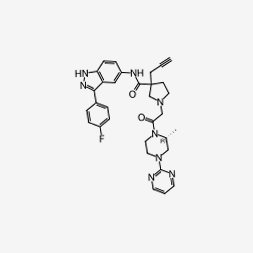 C#CCC1(C(=O)Nc2ccc3[nH]nc(-c4ccc(F)cc4)c3c2)CCN(CC(=O)N2CCN(c3ncccn3)C[C@H]2C)C1